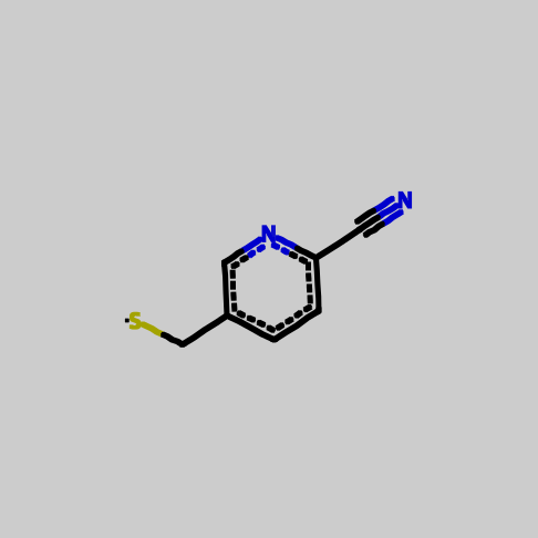 N#Cc1ccc(C[S])cn1